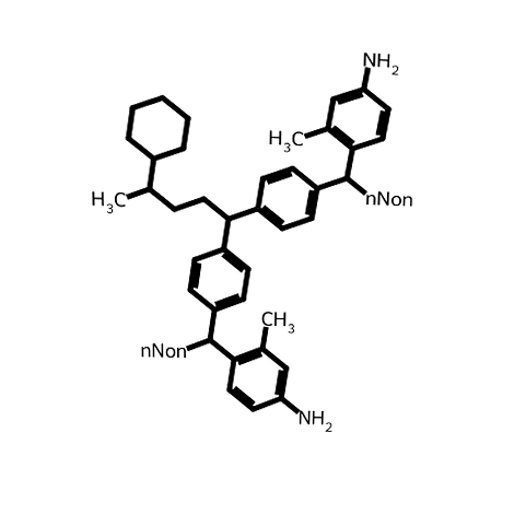 CCCCCCCCCC(c1ccc(C(CCC(C)C2CCCCC2)c2ccc(C(CCCCCCCCC)c3ccc(N)cc3C)cc2)cc1)c1ccc(N)cc1C